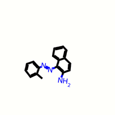 Cc1ccccc1N=Nc1c(N)ccc2ccccc12